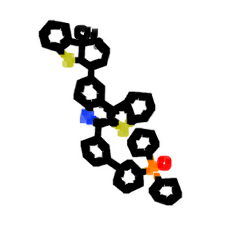 CC12C=CC=C(c3ccc4nc(-c5cccc(-c6cccc(P(=O)(c7ccccc7)c7ccccc7)c6)c5)c5sc6ccccc6c5c4c3)C1Sc1ccccc12